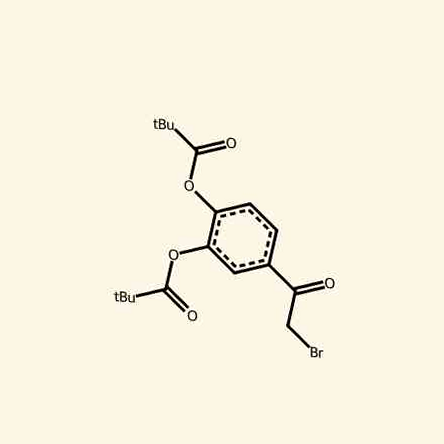 CC(C)(C)C(=O)Oc1ccc(C(=O)CBr)cc1OC(=O)C(C)(C)C